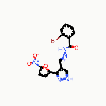 O=C(N/N=C/c1c[nH]nc1-c1ccc([N+](=O)[O-])o1)c1ccccc1Br